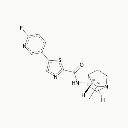 C[C@H]1[C@H](NC(=O)c2ncc(-c3ccc(F)nc3)s2)C2CCN1CC2